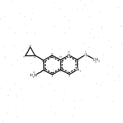 COc1ncc2cc(N)c(C3CC3)cc2n1